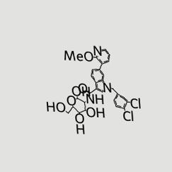 COc1ncccc1-c1ccc2c(C(=O)N[C@H]3C(O)OC(CO)[C@@H](O)C3O)cn(Cc3ccc(Cl)c(Cl)c3)c2c1